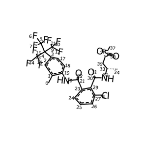 Cc1cc(C(C(F)(F)F)(C(F)(F)F)C(F)(F)F)ccc1NC(=O)c1cccc(Cl)c1C(=O)N[C@@H](C)CS(C)(=O)=O